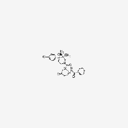 CC1(C)CN(C(=O)[C@H]2CC(=O)CC[C@H]2NC(=O)c2ccccc2)CCC1(O)c1ccc(Cl)cc1